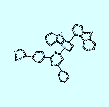 c1ccc(-c2cc(-c3ccc(-c4cccc5oc6ccccc6c45)c4oc5ccccc5c34)nc(-c3ccc(-c4ccncc4)cc3)n2)cc1